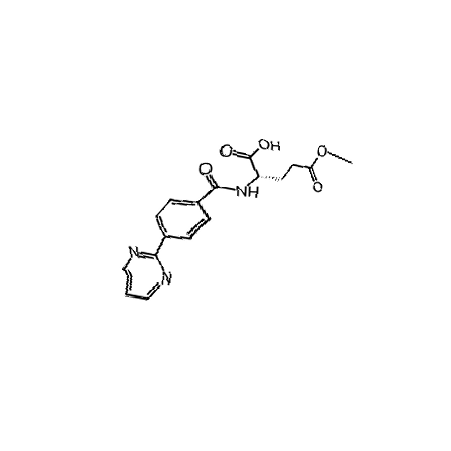 COC(=O)CC[C@H](NC(=O)c1ccc(-c2ncccn2)cc1)C(=O)O